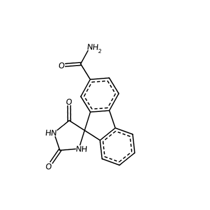 NC(=O)c1ccc2c(c1)C1(NC(=O)NC1=O)c1ccccc1-2